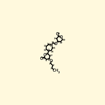 CCCCOC1CC(=O)OC(C2CCCN(COC3CCOC(=O)C3)CC2)C1